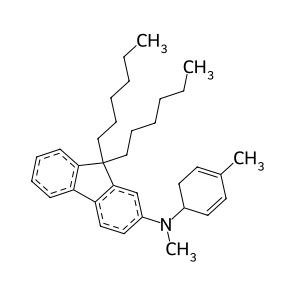 CCCCCCC1(CCCCCC)c2ccccc2-c2ccc(N(C)C3C=CC(C)=CC3)cc21